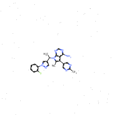 CC(c1cnn(-c2ccccc2F)c1)n1c(C#N)c(-c2cnc(C(F)(F)F)nc2)c2c(N)ncnc21